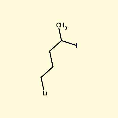 [Li][CH2]CCC(C)I